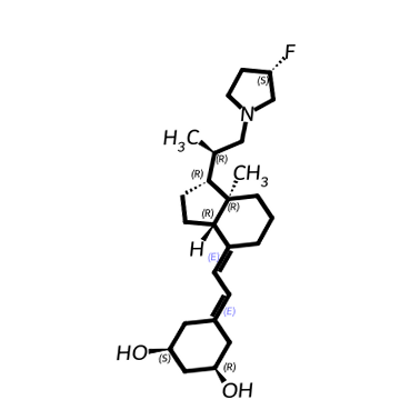 C[C@@H](CN1CC[C@H](F)C1)[C@H]1CC[C@H]2/C(=C/C=C3/C[C@@H](O)C[C@@H](O)C3)CCC[C@]12C